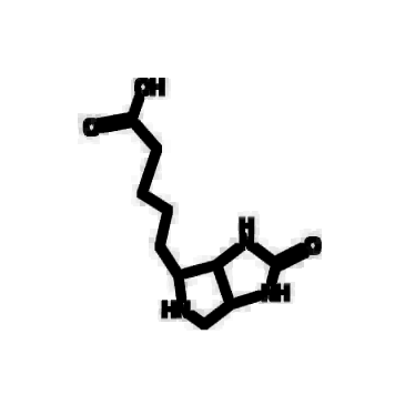 O=C(O)CCCCC1NCC2NC(=O)NC12